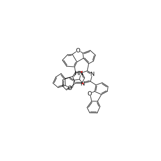 c1ccc(C2N=C(c3cccc4c3oc3ccccc34)N=C(c3cccc4oc5cccc(-c6cccc7oc8ccccc8c67)c5c34)N2)cc1